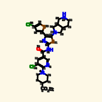 CCOC(=O)C1CCN(c2ncc(C(=O)Nc3nc(-c4cc(Cl)cs4)c(N4CC5CCNCC5C4)s3)cc2Cl)CC1